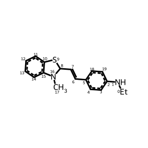 CCNc1ccc(C=CC2Sc3ccccc3N2C)cc1